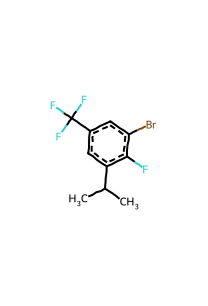 CC(C)c1cc(C(F)(F)F)cc(Br)c1F